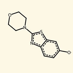 [O]c1ccc2nc(N3CCOCC3)sc2c1